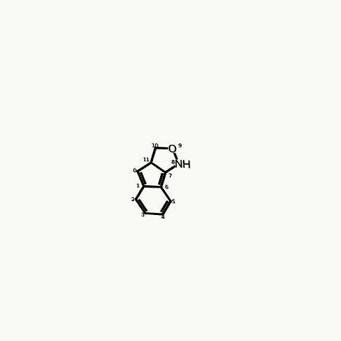 C1=c2ccccc2=C2NOCC12